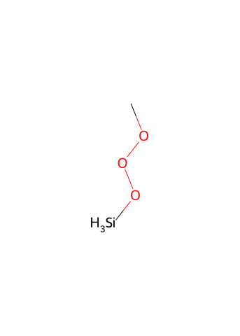 COOO[SiH3]